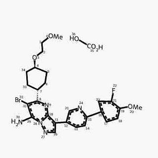 COCCO[C@H]1CC[C@H](c2nc3c(-c4ccc(-c5ccc(OC)c(F)c5)nc4)cnn3c(N)c2Br)CC1.O=C(O)O